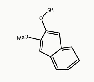 COc1cc2ccccc2cc1OS